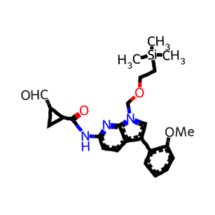 COc1ccccc1-c1cn(COCC[Si](C)(C)C)c2nc(NC(=O)C3CC3C=O)ccc12